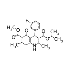 COC(=O)C1C(=O)C2=C(CC1C)NC(C)=C(C(=O)OC(C)C)C2c1cccc(F)c1